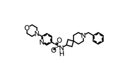 O=S(=O)(NC1CC2(CCN(Cc3ccccc3)CC2)C1)c1ccc(N2CCOCC2)nc1